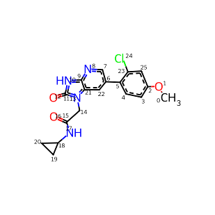 COc1ccc(-c2cnc3[nH]c(=O)n(CC(=O)NC4CC4)c3c2)c(Cl)c1